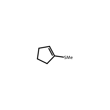 CSC1=CCCC1